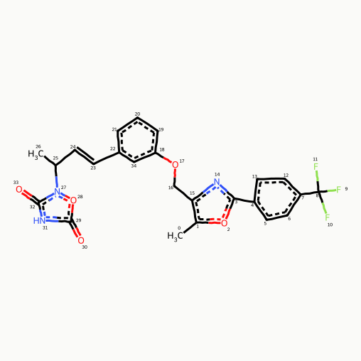 Cc1oc(-c2ccc(C(F)(F)F)cc2)nc1COc1cccc(/C=C/C(C)n2oc(=O)[nH]c2=O)c1